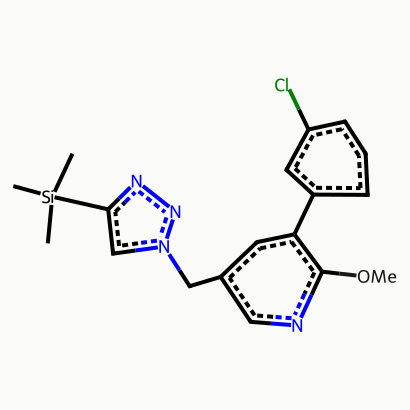 COc1ncc(Cn2cc([Si](C)(C)C)nn2)cc1-c1cccc(Cl)c1